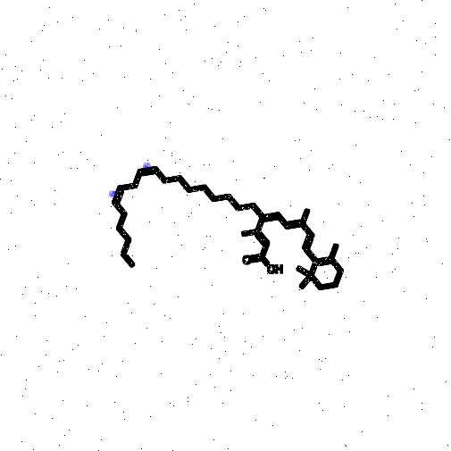 CCCCC/C=C\C/C=C\CCCCCCCCC(=CC=C(C)C=CC1=C(C)CCCC1(C)C)C(C)=CC(=O)O